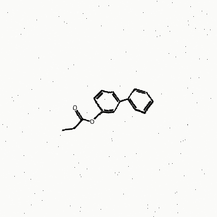 CCC(=O)Oc1cccc(-c2ccccc2)c1